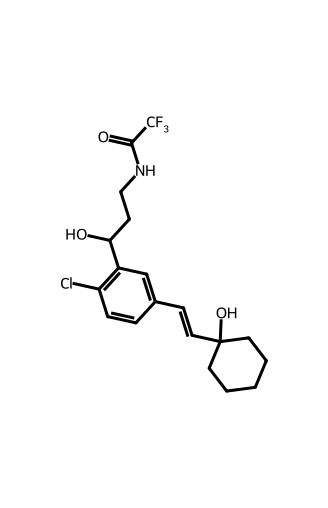 O=C(NCCC(O)c1cc(C=CC2(O)CCCCC2)ccc1Cl)C(F)(F)F